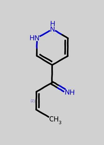 C/C=C\C(=N)C1=CNNC=C1